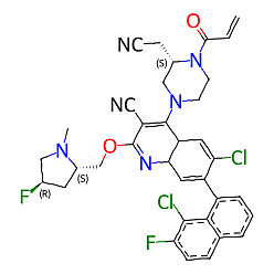 C=CC(=O)N1CCN(C2=C(C#N)C(OC[C@@H]3C[C@@H](F)CN3C)=NC3C=C(c4cccc5ccc(F)c(Cl)c45)C(Cl)=CC23)C[C@@H]1CC#N